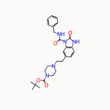 CC(C)(C)OC(=O)N1CCN(CCc2ccc3[nH]c(=O)n(C(=O)NCc4ccccc4)c3c2)CC1